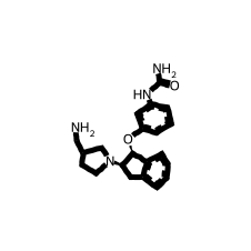 NCC1CCN([C@@H]2Cc3ccccc3[C@H]2Oc2cccc(NC(N)=O)c2)C1